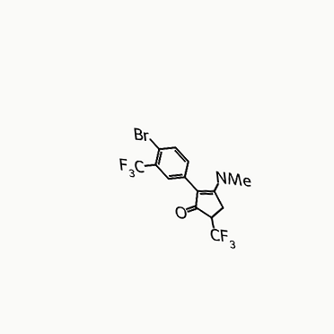 CNC1=C(c2ccc(Br)c(C(F)(F)F)c2)C(=O)C(C(F)(F)F)C1